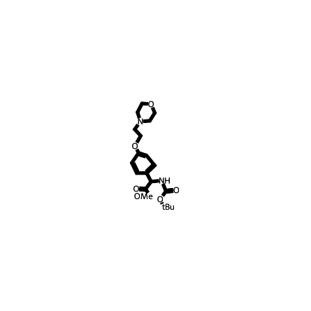 COC(=O)C(NC(=O)OC(C)(C)C)c1ccc(OCCN2CCOCC2)cc1